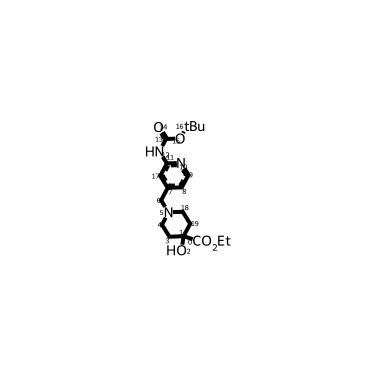 CCOC(=O)C1(O)CCN(Cc2ccnc(NC(=O)OC(C)(C)C)c2)CC1